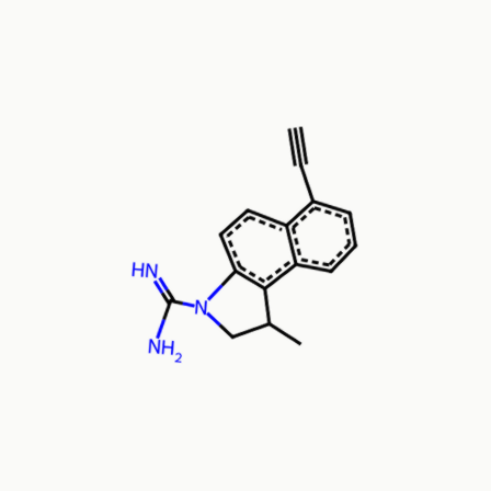 C#Cc1cccc2c3c(ccc12)N(C(=N)N)CC3C